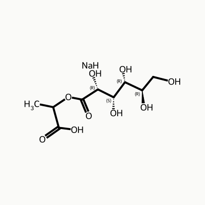 CC(OC(=O)[C@H](O)[C@@H](O)[C@H](O)[C@H](O)CO)C(=O)O.[NaH]